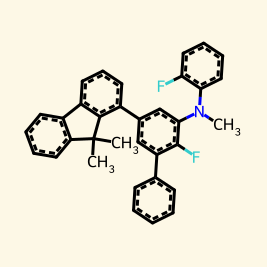 CN(c1ccccc1F)c1cc(-c2cccc3c2C(C)(C)c2ccccc2-3)cc(-c2ccccc2)c1F